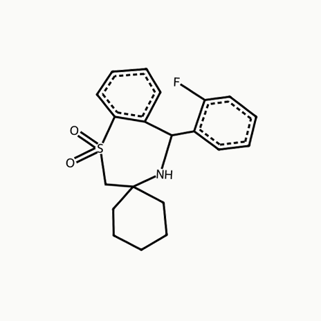 O=S1(=O)CC2(CCCCC2)NC(c2ccccc2F)c2ccccc21